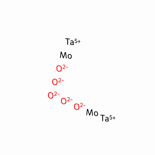 [Mo].[Mo].[O-2].[O-2].[O-2].[O-2].[O-2].[Ta+5].[Ta+5]